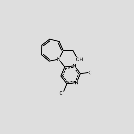 OCC1=CC=CC=CN1c1cc(Cl)nc(Cl)n1